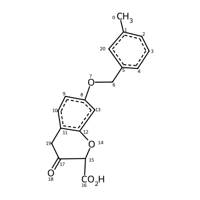 Cc1cccc(COc2ccc3c(c2)OC(C(=O)O)C(=O)C3)c1